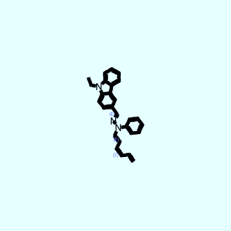 C=C/C=C\C=C\N(/N=C/c1ccc2c(c1)c1ccccc1n2CC)c1ccccc1